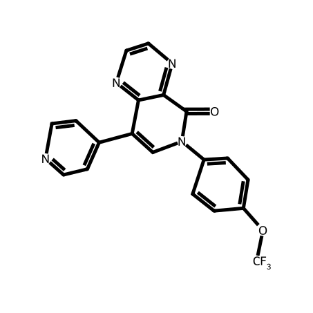 O=c1c2nccnc2c(-c2ccncc2)cn1-c1ccc(OC(F)(F)F)cc1